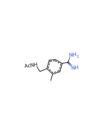 CC(=O)NCc1ccc(C(=N)N)cc1C